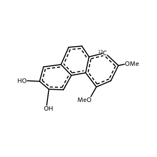 COc1cc(OC)c2c(ccc3cc(O)c(O)cc32)[13cH]1